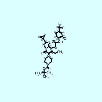 CCc1c(N2CCN(C(=O)OC(C)(C)C)CC2)c(=O)n2nc(C3CC3)nc2n1CC(=O)Nc1ccc(C(F)(F)F)cc1Cl